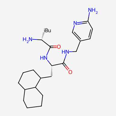 CCC(C)[C@@H](N)C(=O)N[C@@H](CC1CCCC2CCCCC21)C(=O)NCc1ccc(N)nc1